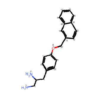 NCC(N)Cc1ccc(OCc2ccc3ccccc3c2)cc1